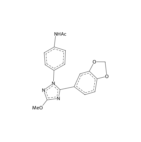 COc1nc(-c2ccc3c(c2)OCO3)n(-c2ccc(NC(C)=O)cc2)n1